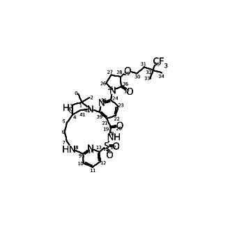 CC1(C)C[C@@H]2CCCNc3cccc(n3)S(=O)(=O)NC(=O)c3ccc(N4CCC(OCCC(C)(C)C(F)(F)F)C4=O)nc3N1C2